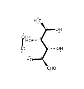 CCO.C[C@@H](O)[C@@H](O)[C@H](O)[C@H](O)C=O